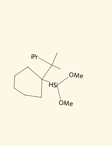 CO[SiH](OC)C1(C(C)(C)C(C)C)CCCCC1